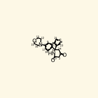 O=C1CC(=O)NC(c2ccc(N3CCOCC3)cc2)(c2ccsc2)C1